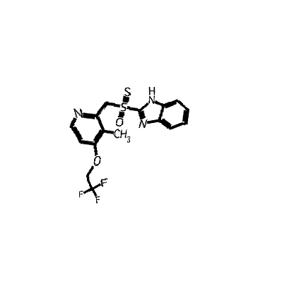 Cc1c(OCC(F)(F)F)ccnc1CS(=O)(=S)c1nc2ccccc2[nH]1